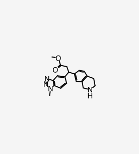 COC(=O)CC(c1ccc2c(c1)CNCC2)c1ccc2c(c1)nnn2C